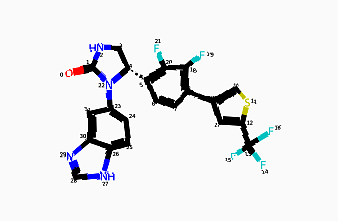 O=C1NC[C@H](c2ccc(-c3csc(C(F)(F)F)c3)c(F)c2F)N1c1ccc2[nH]cnc2c1